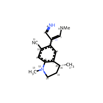 CN/C=C(\C=N)c1cc2c(cc1C#N)N(C)CC[C@H]2C